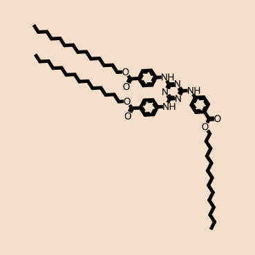 CCCCCCCCCCCCCCOC(=O)c1ccc(Nc2nc(Nc3ccc(C(=O)OCCCCCCCCCCCCCC)cc3)nc(Nc3ccc(C(=O)OCCCCCCCCCCCCCC)cc3)n2)cc1